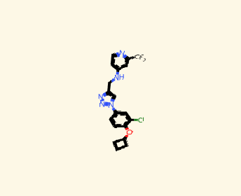 FC(F)(F)c1cc(NCc2cn(-c3ccc(OC4CCC4)c(Cl)c3)nn2)ccn1